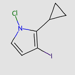 Cln1ccc(I)c1C1CC1